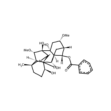 CCN1C[C@]2(C)CC[C@H](O)[C@]34C1[C@](O)([C@@H](OC)[C@H]23)[C@@]1(O)C[C@H](OC)[C@H]2C[C@]4(O)[C@@H]1[C@H]2OC(=O)c1ccccc1